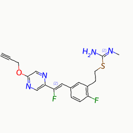 C#CCOc1cnc(/C(F)=C/c2ccc(F)c(CCS/C(N)=N\C)c2)cn1